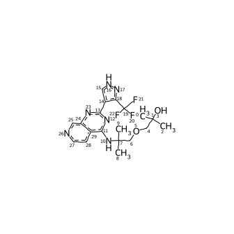 CC(C)(O)COCC(C)(C)Nc1nc(-c2c[nH]nc2C(F)(F)F)nc2cnccc12